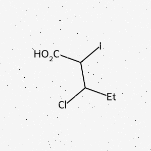 CCC(Cl)C(I)C(=O)O